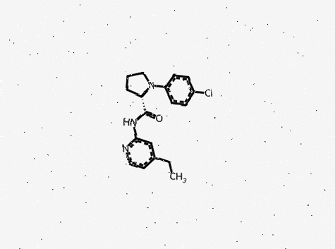 CCc1ccnc(NC(=O)[C@@H]2CCCN2c2ccc(Cl)cc2)c1